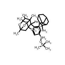 CC1C2(C)OC3(C)CC(C)(O2)C(P)(c2ccc([SiH2]O[Si](C)(C)C)cc2C24CC5CC(CC(C5)C2(C)P)C4)C1(C)O3